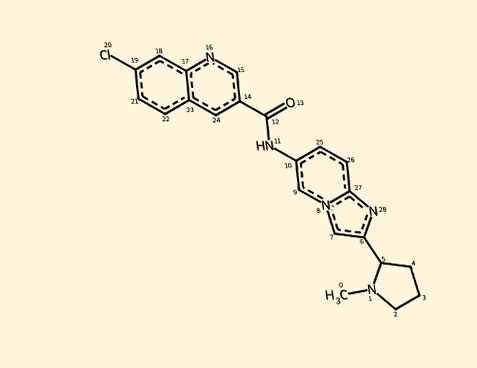 CN1CCCC1c1cn2cc(NC(=O)c3cnc4cc(Cl)ccc4c3)ccc2n1